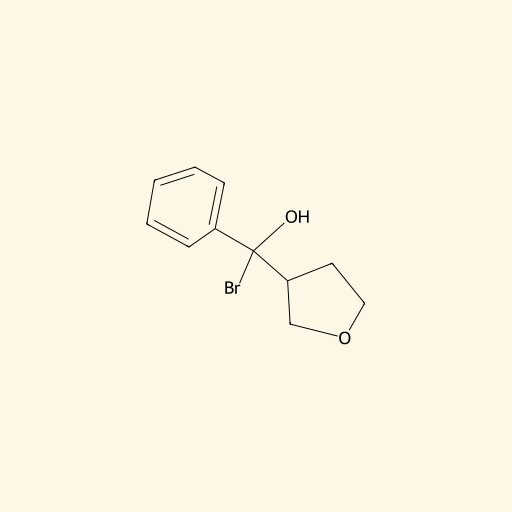 OC(Br)(c1ccccc1)C1CCOC1